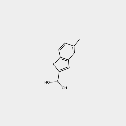 OB(O)c1cc2cc(F)ccc2s1